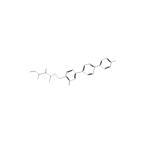 CCC(F)C(F)C(F)CCc1ccc(-c2ccc(-c3ccc(C)cc3)cc2)cc1F